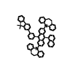 CC1(C)c2ccccc2-c2ccc(-c3cccc(-c4c5cc(N6c7ccccc7CCc7ccccc76)ccc5c(-c5cccc6ccccc56)c5cc(N6c7ccccc7CCc7ccccc76)ccc45)c3)cc21